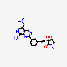 CN(C)Cc1cnc(N)c2nc(-c3cccc(C#CC4(O)CCN(C)C4=O)c3)ncc12